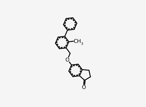 Cc1c(COc2ccc3c(c2)CCC3=O)cccc1-c1ccccc1